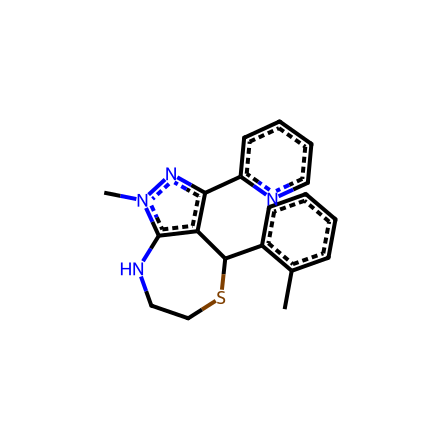 Cc1ccccc1C1SCCNc2c1c(-c1ccccn1)nn2C